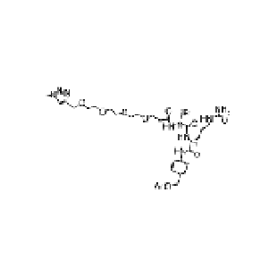 CC(=O)OCc1ccc(NC(=O)[C@H](CCCNC(N)=O)NC(=O)[C@@H](NC(=O)CCOCCOCCOCCOCc2cn(C)nn2)C(C)C)cc1